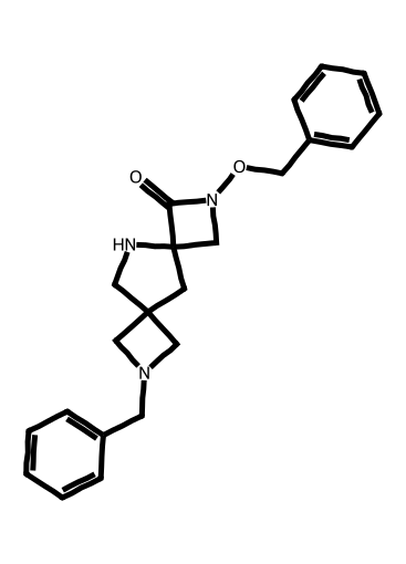 O=C1N(OCc2ccccc2)CC12CC1(CN2)CN(Cc2ccccc2)C1